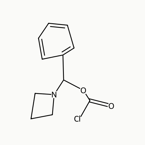 O=C(Cl)OC(c1ccccc1)N1CCC1